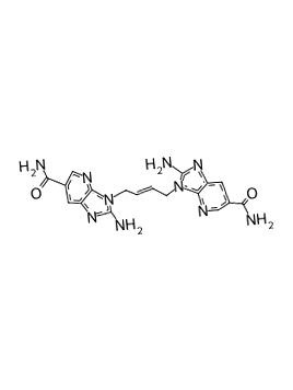 NC(=O)c1cnc2c(c1)nc(N)n2C/C=C/Cn1c(N)nc2cc(C(N)=O)cnc21